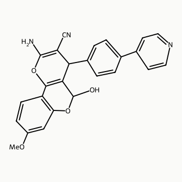 COc1ccc2c(c1)OC(O)C1=C2OC(N)=C(C#N)C1c1ccc(-c2ccncc2)cc1